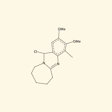 COc1cc2c(c(C)c1OC)N=C1CCCCCN1C2Cl